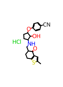 Cc1cc2c(s1)CCC(CNC1CCC(Oc3ccc(C#N)cc3)C1O)C2=O.Cl